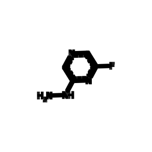 NNc1cncc(F)n1